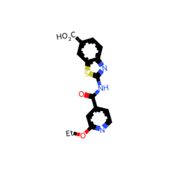 CCOc1cc(C(=O)Nc2nc3ccc(C(=O)O)cc3s2)ccn1